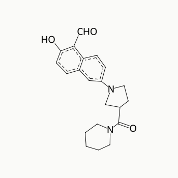 O=Cc1c(O)ccc2cc(N3CCC(C(=O)N4CCCCC4)C3)ccc12